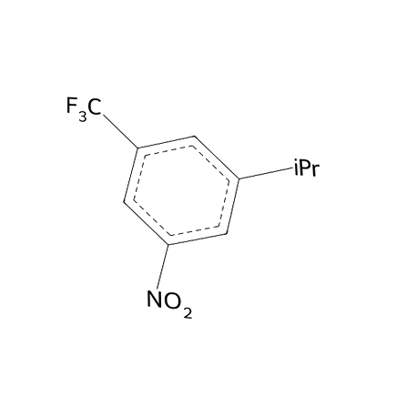 CC(C)c1cc([N+](=O)[O-])cc(C(F)(F)F)c1